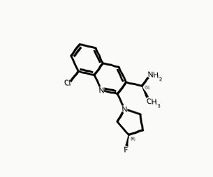 C[C@H](N)c1cc2cccc(Cl)c2nc1N1CC[C@@H](F)C1